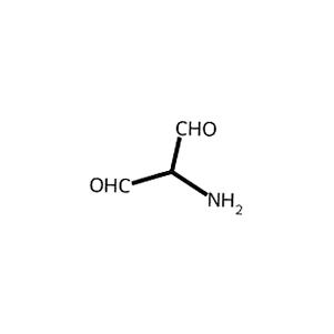 NC(C=O)C=O